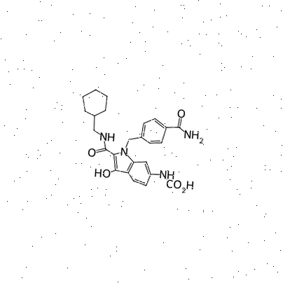 NC(=O)c1ccc(Cn2c(C(=O)NCC3CCCCC3)c(O)c3ccc(NC(=O)O)cc32)cc1